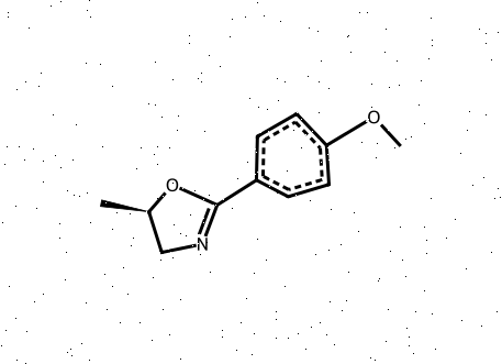 COc1ccc(C2=NC[C@@H](C)O2)cc1